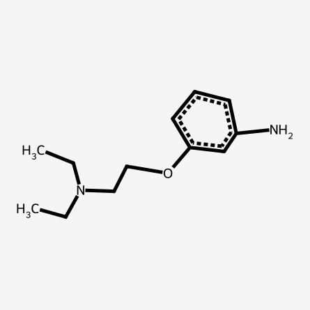 CCN(CC)CCOc1cccc(N)c1